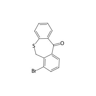 O=C1c2ccccc2SCc2c(Br)cccc21